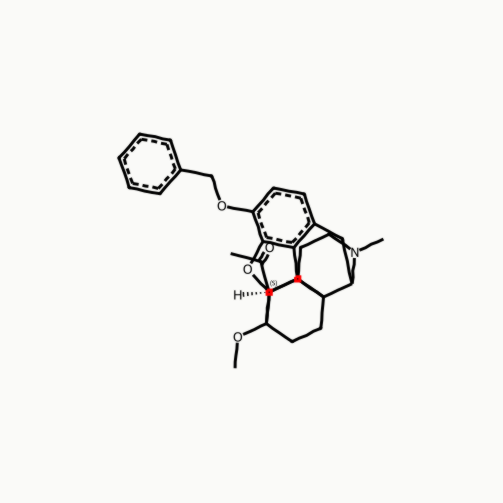 COC12CCC3(C[C@@H]1C(C)=O)C1Cc4ccc(OCc5ccccc5)c5c4C3(CCN1C)C2O5